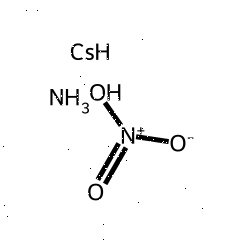 N.O=[N+]([O-])O.[CsH]